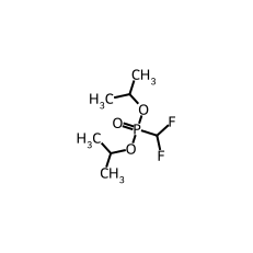 CC(C)OP(=O)(OC(C)C)C(F)F